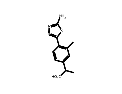 Cc1cc(C(C)C(=O)O)ccc1-c1nnc(N)s1